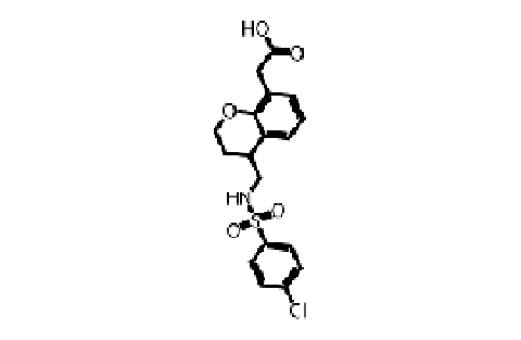 O=C(O)Cc1cccc2c1OCCC2CNS(=O)(=O)c1ccc(Cl)cc1